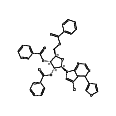 O=C(OC[C@H]1O[C@@H](n2cc(Cl)c3c(-c4ccoc4)ncnc32)[C@H](OC(=O)c2ccccc2)[C@@H]1OC(=O)c1ccccc1)c1ccccc1